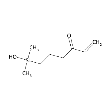 C=CC(=O)CCC[Si](C)(C)O